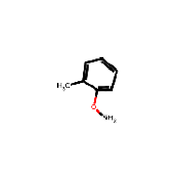 Cc1ccccc1O[SiH3]